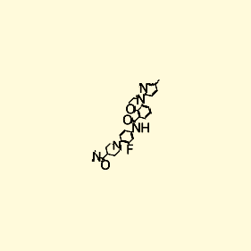 Cc1ccc(N2CCOc3c(C(=O)Nc4ccc(N5CCC(C(=O)N(C)C)CC5)c(F)c4)cccc32)nc1